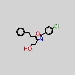 OCCc1nc(-c2ccc(Cl)cc2)oc1CCc1ccccc1